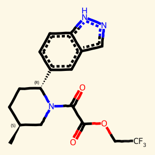 C[C@H]1CC[C@H](c2ccc3[nH]ncc3c2)N(C(=O)C(=O)OCC(F)(F)F)C1